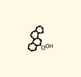 OOc1cc2c3ccccc3ccc2c2ccccc12